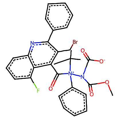 COC(=O)N(C(=O)[O-])[N+](C(=O)c1c(CBr)c(-c2ccccc2)nc2cccc(F)c12)(c1ccccc1)C(C)(C)C